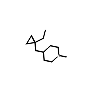 CCC1(CC2CCN(C)CC2)CC1